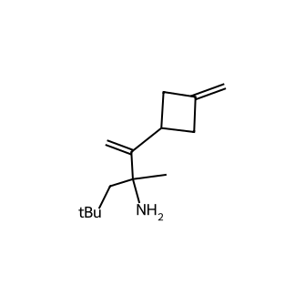 C=C1CC(C(=C)C(C)(N)CC(C)(C)C)C1